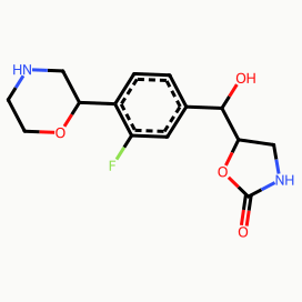 O=C1NCC(C(O)c2ccc(C3CNCCO3)c(F)c2)O1